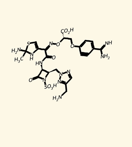 CC1(N)NC(/C(=N/O[C@@H](COc2c#cc(C(=N)N)cc2)C(=O)O)C(=O)N[C@@H]2C(=O)N(S(=O)(=O)O)[C@@H]2Cn2ncc(CN)n2)=CS1